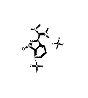 CN(C)C(n1n[n+]([O-])c2ncccc21)=[N+](C)C.F[B-](F)(F)F.F[B-](F)(F)F